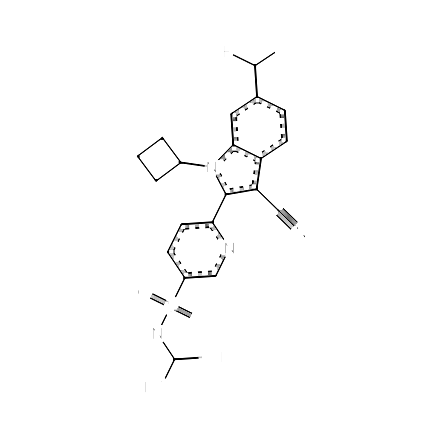 CC(C)NS(=O)(=O)c1ccc(-c2c(C#N)c3ccc(C(F)F)cc3n2C2CCC2)nc1